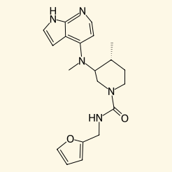 C[C@@H]1CCN(C(=O)NCc2ccco2)CC1N(C)c1ccnc2[nH]ccc12